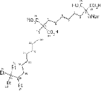 CCCCCCCCCC(CCCCCCC(CCCCCCCCC(CC)C(CC)(CC)CC)(C(=O)O)C(=O)O)(C(=O)O)C(=O)O